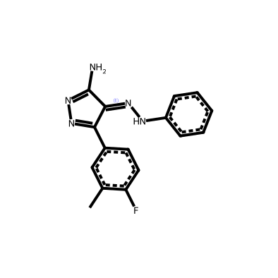 Cc1cc(C2=NN=C(N)/C2=N/Nc2ccccc2)ccc1F